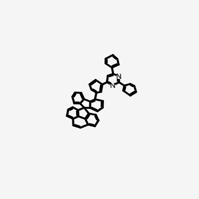 c1ccc(-c2cc(-c3cccc(-c4cccc5c4-c4ccccc4C54c5cccc6ccc7cccc4c7c56)c3)nc(-c3ccccc3)n2)cc1